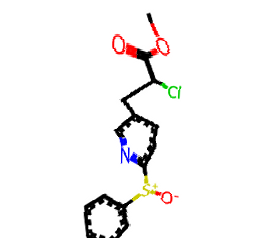 COC(=O)C(Cl)Cc1ccc([S+]([O-])c2ccccc2)nc1